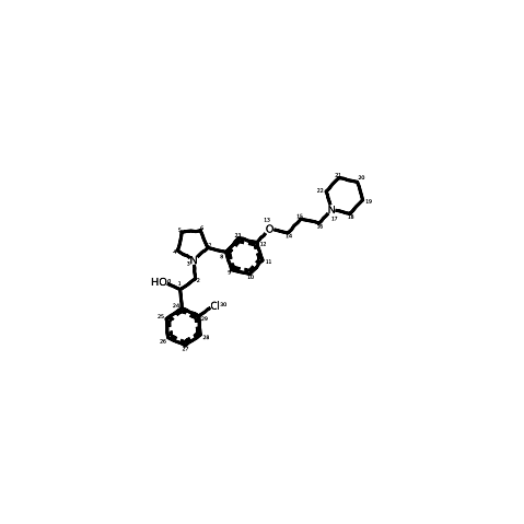 OC(CN1CCCC1c1cccc(OCCCN2CCCCC2)c1)c1ccccc1Cl